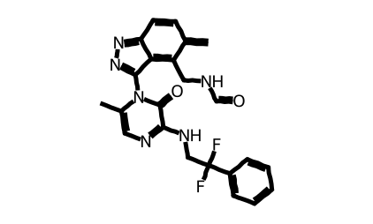 C=c1ccc2c(c1CNC=O)C(n1c(C)cnc(NCC(F)(F)c3ccccc3)c1=O)=NN=2